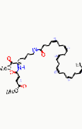 CC/C=C\C/C=C\C/C=C\C/C=C\C/C=C\C/C=C\CCC(=O)NCCCC[C@H](NC(=O)/C=C/C(=O)OC)C(=O)OC